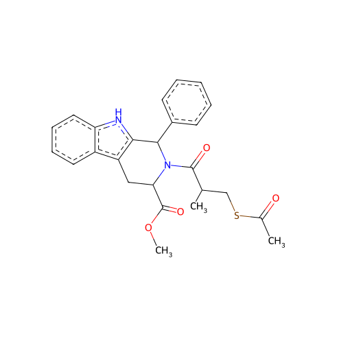 COC(=O)C1Cc2c([nH]c3ccccc23)C(c2ccccc2)N1C(=O)C(C)CSC(C)=O